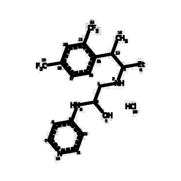 CCC(NCC(O)Nc1ccncc1)C(C)c1ccc(C(F)(F)F)cc1C(F)(F)F.Cl